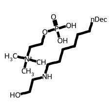 CCCCCCCCCCCCCCCCNCCO.C[N+](C)(C)CCOP(=O)(O)O